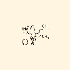 CCCC=C(CCC)C(CCC)(CCC)OS(=O)(=O)c1ccccc1.[NaH]